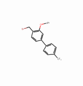 CCCOc1cc(-c2ccc(C(F)(F)F)cc2)ccc1CBr